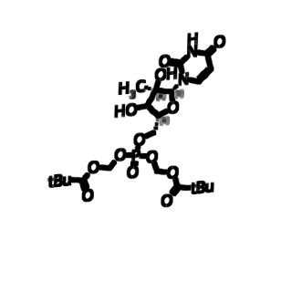 CC(C)(C)C(=O)OCOP(=O)(OCOC(=O)C(C)(C)C)OC[C@H]1O[C@@H](n2ccc(=O)[nH]c2=O)[C@](C)(O)C1O